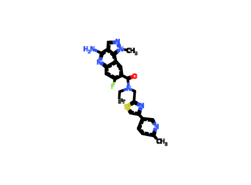 Cc1ccc(-c2csc(CN(CC(C)C)C(=O)c3cc4c(cc3F)nc(N)c3cnn(C)c34)n2)cn1